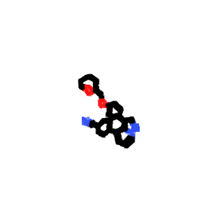 N#CC1CC=C(c2cccn3ncc(-c4ccc(OCC5CCCCO5)cc4)c23)CC1